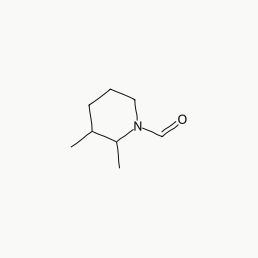 CC1CCCN(C=O)C1C